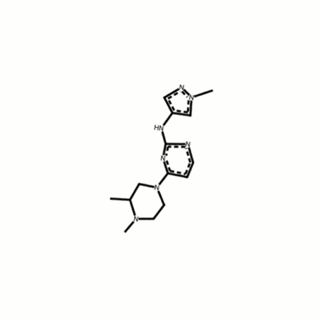 CC1CN(c2ccnc(Nc3cnn(C)c3)n2)CCN1C